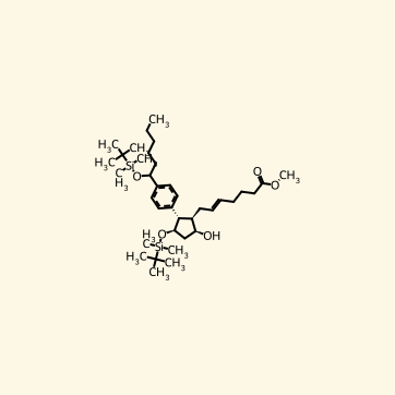 CCCCCC(O[Si](C)(C)C(C)(C)C)c1ccc([C@@H]2[C@@H](CC=CCCCC(=O)OC)[C@@H](O)C[C@H]2O[Si](C)(C)C(C)(C)C)cc1